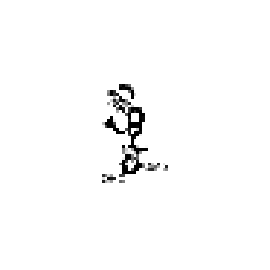 COc1cc(C=O)cc2nc(-c3cc4ccc(N5CCCN(C)S5(=O)=O)nc4n3CC3CC3)c(C)n12